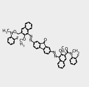 COc1c(CON(C)c2ccccc2F)cc2ccccc2c1N=Nc1ccc2c(c1)C(=O)c1cc(N=Nc3c(OC)c(C(=O)N(C)c4ccccc4F)cc4ccccc34)ccc1-2